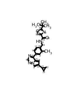 Cc1cc(-c2ncnn3cc(C4CC4)cc23)ccc1CNC(=O)c1noc(C(C)(C)C)n1